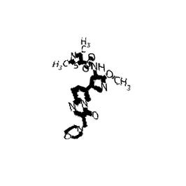 COc1ncc(-c2ccc3ncc(CN4CCOCC4)c(=O)n3c2)cc1NS(=O)(=O)c1sc(C)nc1C